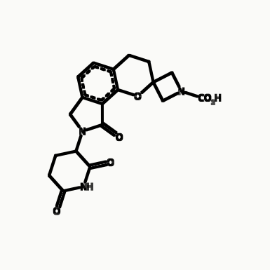 O=C1CCC(N2Cc3ccc4c(c3C2=O)OC2(CC4)CN(C(=O)O)C2)C(=O)N1